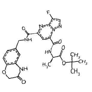 C[C@@H](NC(=O)c1cc(C(=O)NCc2ccc3c(c2)NC(=O)CO3)nc2c(F)cnn12)C(=O)OC(C)(C)C